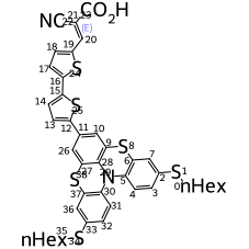 CCCCCCSc1ccc2c(c1)Sc1cc(-c3ccc(-c4ccc(/C=C(\C#N)C(=O)O)s4)s3)cc3c1N2c1ccc(SCCCCCC)cc1S3